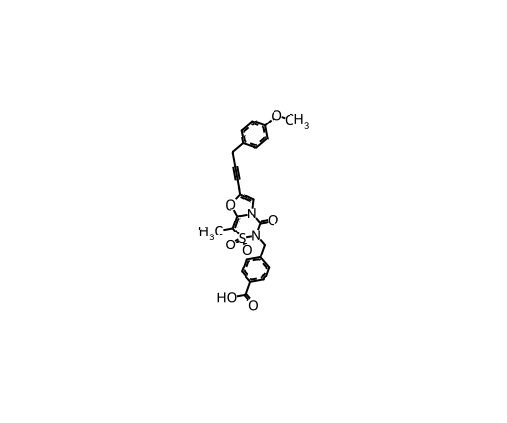 COc1ccc(CC#CC2=CN3C(=O)N(Cc4ccc(C(=O)O)cc4)S(=O)(=O)C(C)=C3O2)cc1